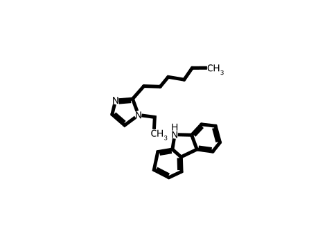 CCCCCCc1nccn1CC.c1ccc2c(c1)[nH]c1ccccc12